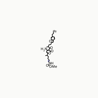 COC(=O)N/C=C/CCC(C)c1cc(N)c(C(=O)C(C)CCc2cc3ccc(CCC(C)C)cc3o2)c(=O)o1